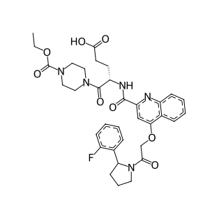 CCOC(=O)N1CCN(C(=O)[C@H](CCC(=O)O)NC(=O)c2cc(OCC(=O)N3CCCC3c3ccccc3F)c3ccccc3n2)CC1